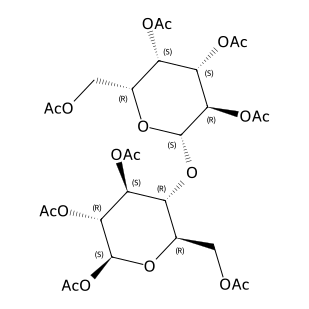 CC(=O)OC[C@H]1O[C@@H](O[C@H]2[C@H](OC(C)=O)[C@@H](OC(C)=O)[C@H](OC(C)=O)O[C@@H]2COC(C)=O)[C@H](OC(C)=O)[C@@H](OC(C)=O)[C@H]1OC(C)=O